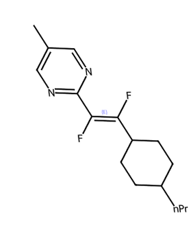 CCCC1CCC(/C(F)=C(\F)c2ncc(C)cn2)CC1